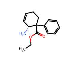 CCOC(=O)[C@]1(c2ccccc2)CCC=C[C@H]1N